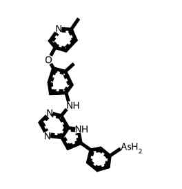 Cc1ccc(Oc2ccc(Nc3ncnc4cc(-c5cccc([AsH2])c5)[nH]c34)cc2C)cn1